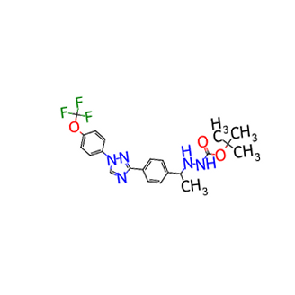 CC(NNC(=O)OC(C)(C)C)c1ccc(-c2ncn(-c3ccc(OC(F)(F)F)cc3)n2)cc1